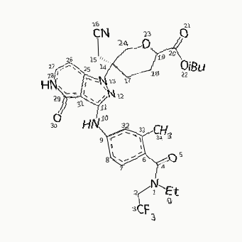 CCN(CC(F)(F)F)C(=O)c1ccc(Nc2nn([C@]3(CC#N)CCC(C(=O)OCC(C)C)OC3)c3cc[nH]c(=O)c23)cc1C